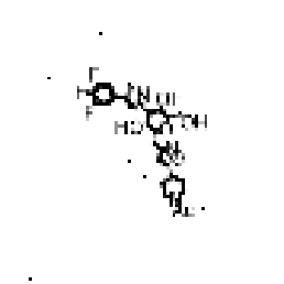 CC(=O)N1CCC([C@@H]2CC(C[C@H]3O[C@H](CO)[C@H](O)[C@H](n4cc(-c5cc(F)c(F)c(F)c5)nn4)[C@H]3O)=NO2)CC1